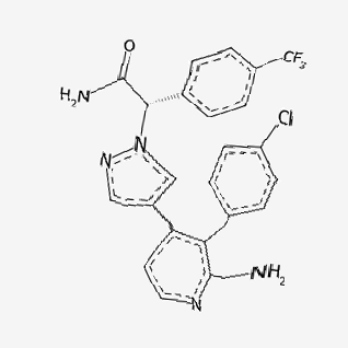 NC(=O)[C@H](c1ccc(C(F)(F)F)cc1)n1cc(-c2ccnc(N)c2-c2ccc(Cl)cc2)cn1